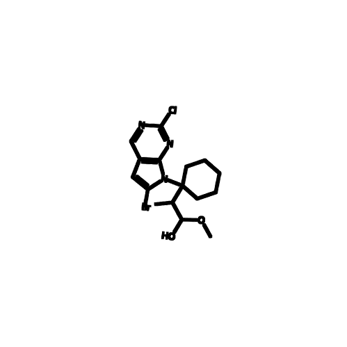 COC(O)C(C)C1(n2c(Br)cc3cnc(Cl)nc32)CCCCC1